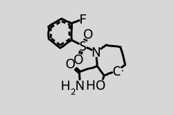 NC(=O)C1C(O)[CH]CCCN1S(=O)(=O)c1ccccc1F